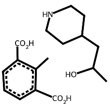 CC(O)CC1CCNCC1.Cc1c(C(=O)O)cccc1C(=O)O